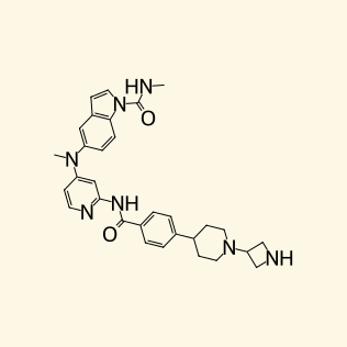 CNC(=O)n1ccc2cc(N(C)c3ccnc(NC(=O)c4ccc(C5CCN(C6CNC6)CC5)cc4)c3)ccc21